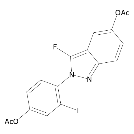 CC(=O)Oc1ccc(-n2nc3ccc(OC(C)=O)cc3c2F)c(I)c1